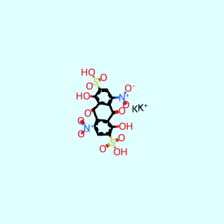 O=C1c2c([N+](=O)[O-])cc(S(=O)(=O)O)c(O)c2C(=O)c2c([N+](=O)[O-])cc(S(=O)(=O)O)c(O)c21.[K+].[K+]